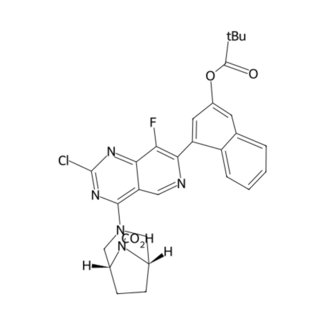 CC(C)(C)C(=O)Oc1cc(-c2ncc3c(N4C[C@H]5CC[C@@H](C4)N5C(=O)O)nc(Cl)nc3c2F)c2ccccc2c1